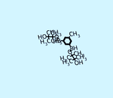 Cc1cc(BOC(C)(C)C(C)(C)O)cc(BOC(C)(C)C(C)(C)O)c1